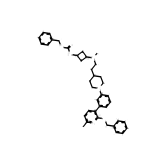 Cc1ccc(-c2cccc(N3CCC(CCN(C)C4CC(NC(=O)OCc5ccccc5)C4)CC3)c2)c(OCc2ccccc2)n1